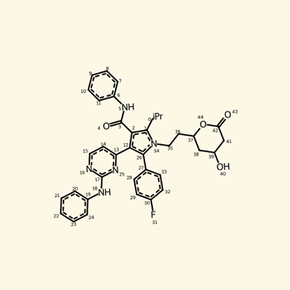 CC(C)c1c(C(=O)Nc2ccccc2)c(-c2ccnc(Nc3ccccc3)n2)c(-c2ccc(F)cc2)n1CCC1CC(O)CC(=O)O1